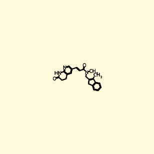 CC1=C(CN(C)C(=O)C=Cc2cnc3c(c2)CCC(=O)N3)Cc2ccccc21